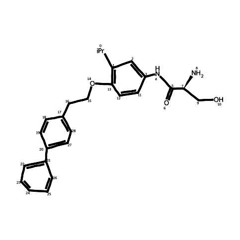 CC(C)c1cc(NC(=O)[C@@H](N)CO)ccc1OCCc1ccc(-c2ccccc2)cc1